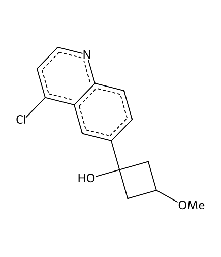 COC1CC(O)(c2ccc3nccc(Cl)c3c2)C1